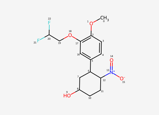 COc1ccc(C2CC(O)CCC2[N+](=O)[O-])cc1OCC(F)F